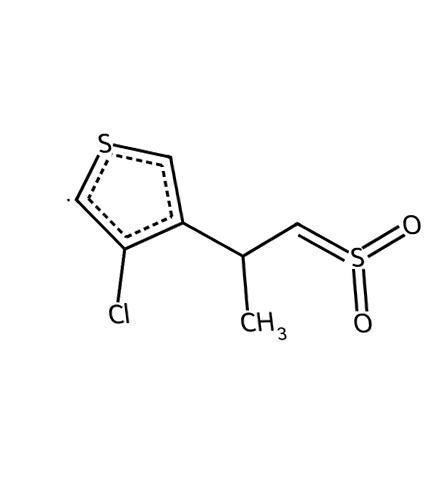 CC(C=S(=O)=O)c1cs[c]c1Cl